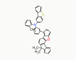 Cc1ccccc1N(c1cccc(-c2cccc3oc4c5c(ccc4c23)C(C)(C)c2ccccc2-5)c1)c1ccc2sc3ccccc3c2c1